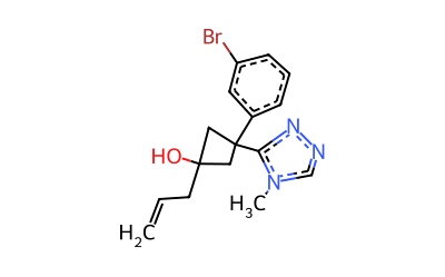 C=CCC1(O)CC(c2cccc(Br)c2)(c2nncn2C)C1